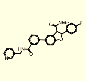 CNC(=O)C1c2cc(-c3cccc(C(=O)NCc4cccnc4)c3)ccc2OC1c1ccc(F)cc1